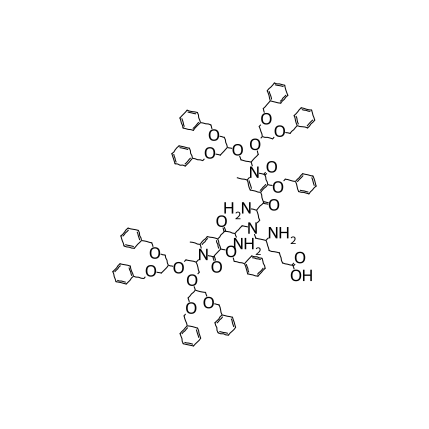 Cc1cc(C(=O)C(N)CN(CC(N)CCCC(=O)O)CC(N)C(=O)c2cc(C)n(C(COC(COCc3ccccc3)COCc3ccccc3)COC(COCc3ccccc3)COCc3ccccc3)c(=O)c2OCc2ccccc2)c(OCc2ccccc2)c(=O)n1C(COC(COCc1ccccc1)COCc1ccccc1)COC(COCc1ccccc1)COCc1ccccc1